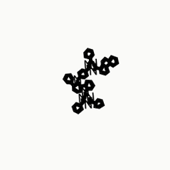 c1ccc(-c2nc(-c3ccc(-n4c5ccccc5c5ccc6c(c7ccccc7n6-c6nc(-c7ccccc7)nc(-c7ccccc7)n6)c54)cc3)nc(-c3cccc4c3ccc3ccccc34)n2)cc1